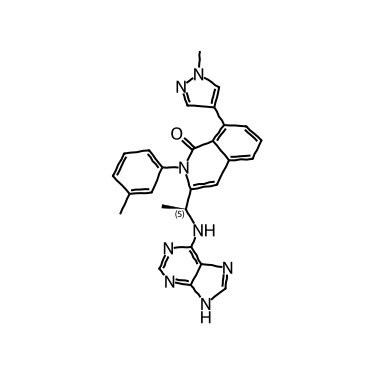 Cc1cccc(-n2c([C@H](C)Nc3ncnc4[nH]cnc34)cc3cccc(-c4cnn(C)c4)c3c2=O)c1